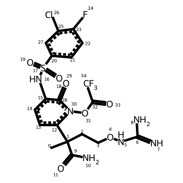 CC(CCONC(=N)N)(C(N)=O)c1ccc(NS(=O)(=O)c2ccc(F)c(Cl)c2)c(=O)n1OC(=O)C(F)(F)F